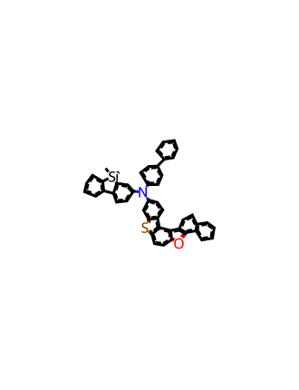 C[Si]1(C)c2ccccc2-c2ccc(N(c3ccc(-c4ccccc4)cc3)c3ccc4c(c3)sc3ccc5oc6c7ccccc7ccc6c5c34)cc21